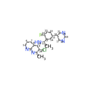 Cc1nc2ncccc2c(NC(C)c2cc(-c3cncnc3)ccc2F)c1Cl